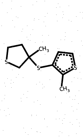 Cc1sccc1SC1(C)CCSC1